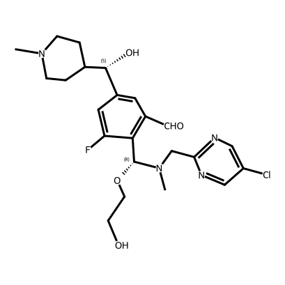 CN1CCC([C@H](O)c2cc(F)c([C@@H](OCCO)N(C)Cc3ncc(Cl)cn3)c(C=O)c2)CC1